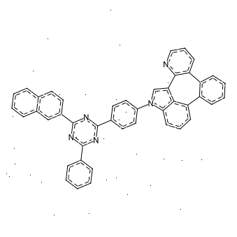 c1ccc(-c2nc(-c3ccc(-n4cc5c6c(cccc64)-c4ccccc4-c4cccnc4-5)cc3)nc(-c3ccc4ccccc4c3)n2)cc1